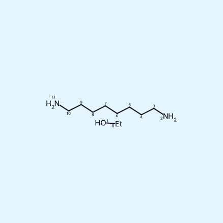 CCO.NCCCCCCCCN